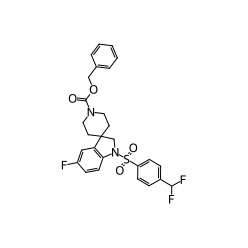 O=C(OCc1ccccc1)N1CCC2(CC1)CN(S(=O)(=O)c1ccc(C(F)F)cc1)c1ccc(F)cc12